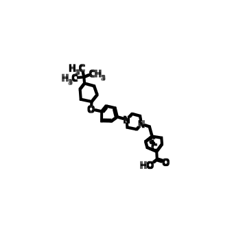 CC(C)(C)C1CCC(Oc2ccc(N3CCN(CC45CCC(C(=O)O)(CC4)CC5)CC3)cc2)CC1